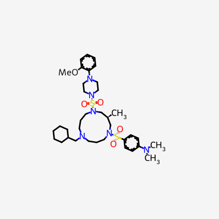 COc1ccccc1N1CCN(S(=O)(=O)N2CCCN(CC3CCCCC3)CCCN(S(=O)(=O)c3ccc(N(C)C)cc3)C[C@H](C)C2)CC1